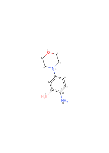 Bc1cc(N2CCOCC2)ccc1N